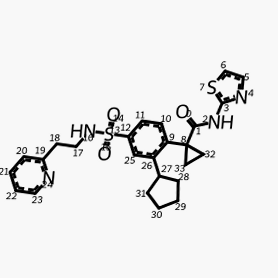 O=C(Nc1nccs1)C1(c2ccc(S(=O)(=O)NCCc3ccccn3)cc2C2CCCC2)CC1